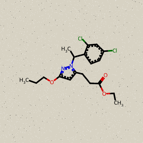 CCCOc1cc(CCC(=O)OCC)n(C(C)c2ccc(Cl)cc2Cl)n1